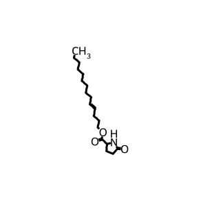 CCCCCCCCCC=CCCCOC(=O)C1CCC(=O)N1